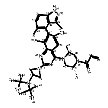 [2H]C([2H])([2H])N(C1CN(c2nc(N3C[C@@H](C)N(C(=O)C=C)C[C@@H]3C)c3cc(Cl)c(-c4c(C)ccc5[nH]nc(C)c45)c(F)c3n2)C1)C([2H])([2H])[2H]